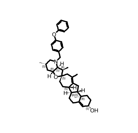 CC1=C2C[C@H]3[C@@H](CCC4=C[C@@H](O)CC[C@@]43C)[C@@H]2CC[C@@]2(C1)O[C@@H]1C[C@H](C)CN(Cc3ccc(Oc4ccccc4)cc3)[C@H]1[C@H]2C